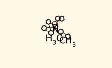 CC1(C)c2ccccc2-c2ccc(N(C3=CC(c4ccccc4)=CCC3)c3cccc4c3C3(c5ccccc5-4)c4ccccc4-c4c(-c5ccccc5)cccc43)cc21